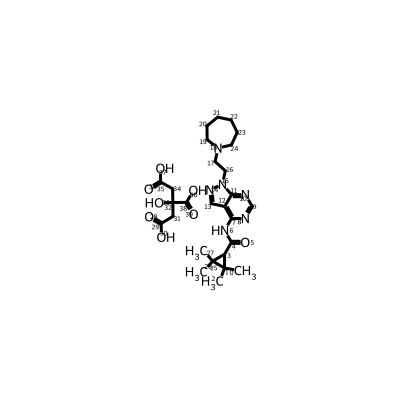 CC1(C)C(C(=O)Nc2ncnc3c2cnn3CCN2CCCCCC2)C1(C)C.O=C(O)CC(O)(CC(=O)O)C(=O)O